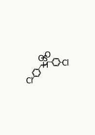 O=[SH](=O)C(C=Cc1ccc(Cl)cc1)c1ccc(Cl)cc1